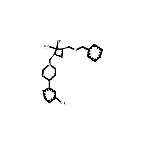 Cc1cccc(C2CCN(C[C@@H]3C[C@H](COCc4ccccc4)C3(C)C)CC2)c1